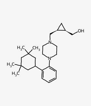 CC1(C)CC(c2ccccc2N2CCN(C[C@H]3C[C@H]3CO)CC2)CC(C)(C)C1